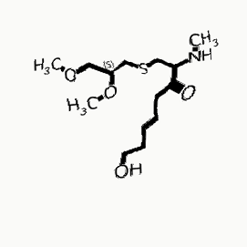 CNC(CSC[C@H](COC)OC)C(=O)CCCCCO